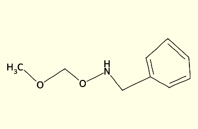 COCONCc1ccccc1